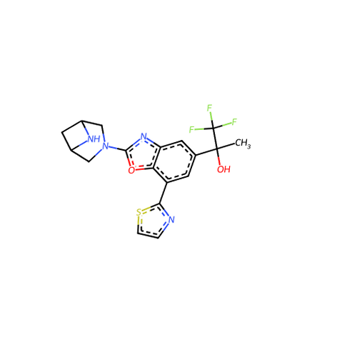 CC(O)(c1cc(-c2nccs2)c2oc(N3CC4CC(C3)N4)nc2c1)C(F)(F)F